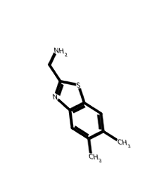 Cc1cc2nc(CN)sc2cc1C